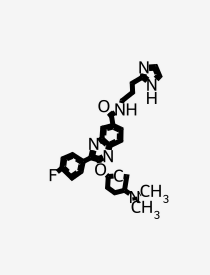 CN(C)C1CCC(Oc2nc3ccc(C(=O)NCCCc4ncc[nH]4)cc3nc2-c2ccc(F)cc2)CC1